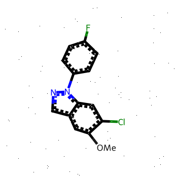 COc1cc2cnn(-c3ccc(F)cc3)c2cc1Cl